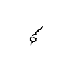 CCCCCCCN1CCC(F)CC1